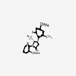 COc1cc(C)c([C@H]2CC(=O)N(c3ncccc3OC)[C@@H]2C)c(F)c1